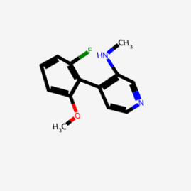 CNc1cnccc1-c1c(F)cccc1OC